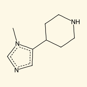 Cn1cncc1C1CCNCC1